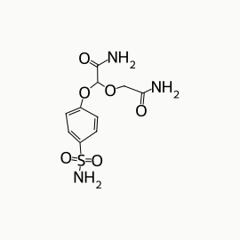 NC(=O)COC(Oc1ccc(S(N)(=O)=O)cc1)C(N)=O